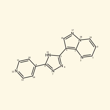 c1cnc2c(-c3nnc(-c4ccncc4)[nH]3)cnn2c1